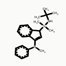 CN(C1=CC([Si](C)(C)NC(C)(C)C)c2ccccc21)c1ccccc1